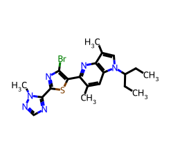 CCC(CC)n1cc(C)c2nc(-c3sc(-c4ncnn4C)nc3Br)c(C)cc21